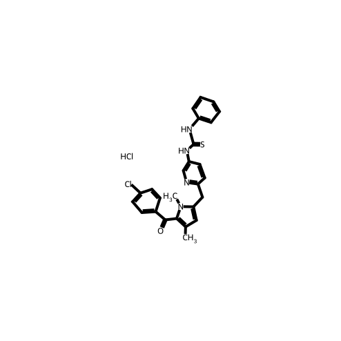 Cc1cc(Cc2ccc(NC(=S)Nc3ccccc3)cn2)n(C)c1C(=O)c1ccc(Cl)cc1.Cl